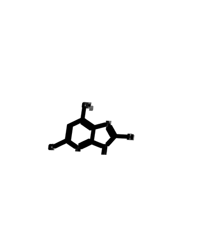 CCc1nc2c(C)cc(Cl)nc2[nH]1